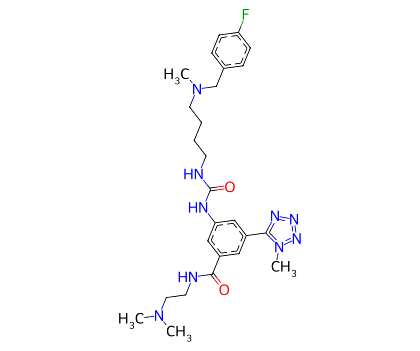 CN(C)CCNC(=O)c1cc(NC(=O)NCCCCN(C)Cc2ccc(F)cc2)cc(-c2nnnn2C)c1